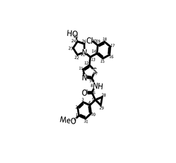 COc1ccc(C2(C(=O)Nc3ncc(C(c4ccccc4Cl)N4CC[C@@H](O)C4)s3)CC2)cc1